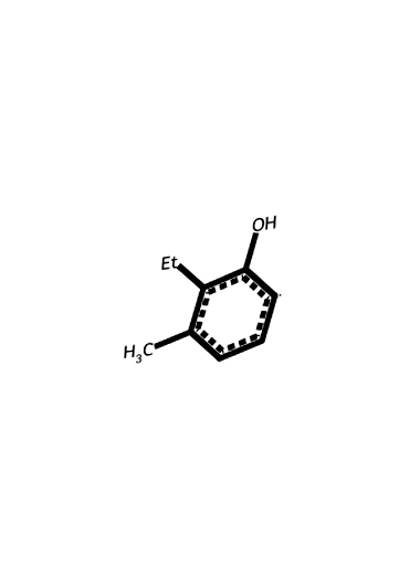 CCc1c(O)[c]ccc1C